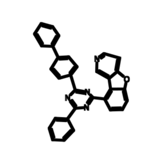 c1ccc(-c2ccc(-c3nc(-c4ccccc4)nc(-c4cccc5oc6ccncc6c45)n3)cc2)cc1